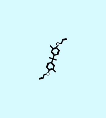 C=CCOc1ccc(C(C)(C)c2ccc(OCC=C)c(C)c2)cc1C